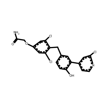 NC(=O)COc1cc(Cl)c(Cc2ccc(O)c(-c3ccnc(Cl)c3)c2)c(Cl)c1